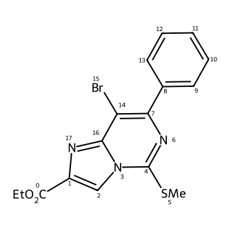 CCOC(=O)c1cn2c(SC)nc(-c3ccccc3)c(Br)c2n1